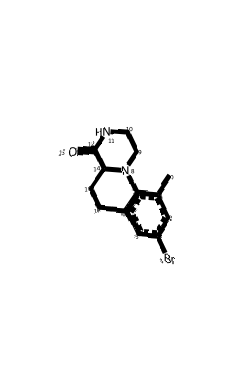 Cc1cc(Br)cc2c1N1CCNC(=O)C1CC2